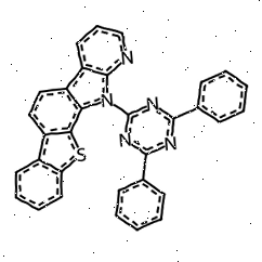 c1ccc(-c2nc(-c3ccccc3)nc(-n3c4ncccc4c4ccc5c6ccccc6sc5c43)n2)cc1